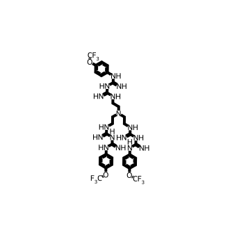 N=C(NCCN(CCNC(=N)NC(=N)Nc1ccc(OC(F)(F)F)cc1)CCNC(=N)NC(=N)Nc1ccc(OC(F)(F)F)cc1)NC(=N)Nc1ccc(OC(F)(F)F)cc1